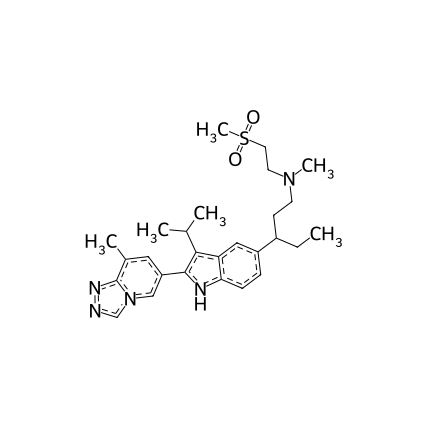 CCC(CCN(C)CCS(C)(=O)=O)c1ccc2[nH]c(-c3cc(C)c4nncn4c3)c(C(C)C)c2c1